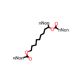 CCCCCCCCCC(=O)OCCCCCCCCC(CCCCCCCCC)OC(=O)CCCCCCCCC